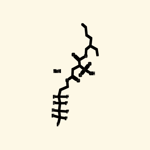 CCCCC(CC)COC(=O)C(CC(=O)OCCC(F)(F)C(F)(F)C(F)(F)C(F)(F)F)S(=O)(=O)O.[NaH]